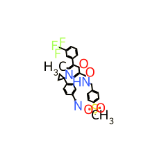 Cc1c(-c2cccc(C(F)(F)F)c2)c(=O)c(C(=O)NCc2ccc(S(C)(=O)=O)cc2)cn1C1(c2ccc(C#N)cc2)CC1